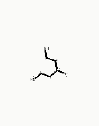 CCN(CCO)CCS